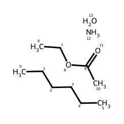 CCCCCC.CCOC(C)=O.N.O